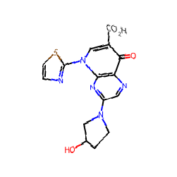 O=C(O)c1cn(-c2nccs2)c2nc(N3CCC(O)C3)cnc2c1=O